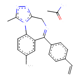 C=Cc1ccc(C2=N[C@@H](CC(N)=O)c3nnc(C)n3-c3ccc(OC)cc32)cc1